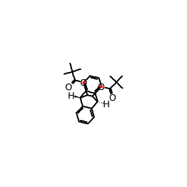 CC(C)(C)C(=O)OC1C(OC(=O)C(C)(C)C)[C@H]2c3ccccc3[C@H]1c1ccccc12